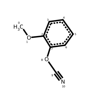 COc1ccccc1OC#N